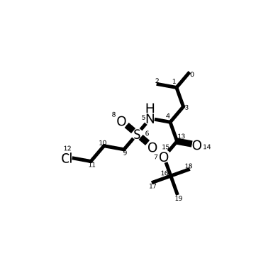 CC(C)CC(NS(=O)(=O)CCCCl)C(=O)OC(C)(C)C